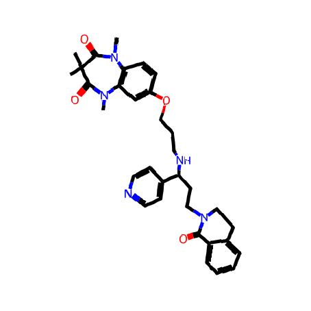 CN1C(=O)C(C)(C)C(=O)N(C)c2cc(OCCCNC(CCN3CCc4ccccc4C3=O)c3ccncc3)ccc21